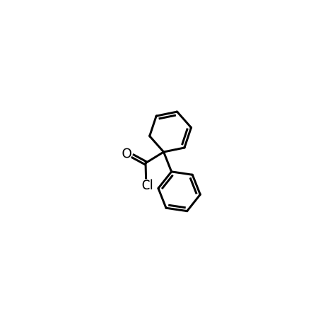 O=C(Cl)C1(c2ccccc2)C=CC=CC1